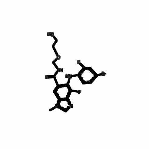 Cn1cnc2c(F)c(Nc3ccc(Br)cc3F)c(C(=O)NCOCCO)cc21